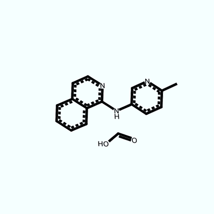 Cc1ccc(Nc2nccc3ccccc23)cn1.O=CO